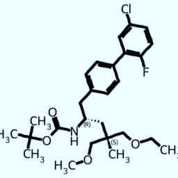 CCOC[C@](C)(COC)C[C@@H](Cc1ccc(-c2cc(Cl)ccc2F)cc1)NC(=O)OC(C)(C)C